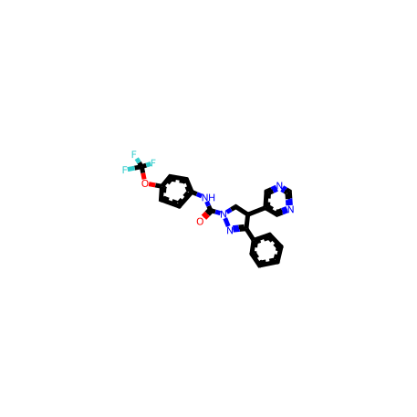 O=C(Nc1ccc(OC(F)(F)F)cc1)N1CC(c2cncnc2)C(c2ccccc2)=N1